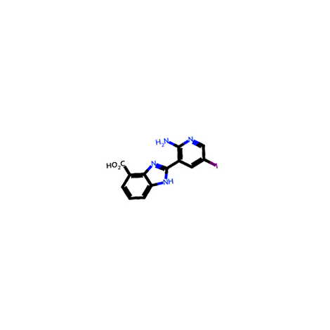 Nc1ncc(I)cc1-c1nc2c(C(=O)O)cccc2[nH]1